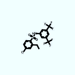 CCc1cc(Cl)ccc1S(=O)(=O)Nc1cc(C(F)(F)F)cc(C(F)(F)F)c1